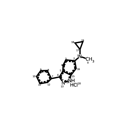 CN(c1ccc2c(-c3ccccc3)n[nH]c2c1)C1CC1.Cl